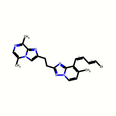 CC/C=C/C=C\c1c(C)ccn2nc(CCc3cn4c(C)cnc(C)c4n3)nc12